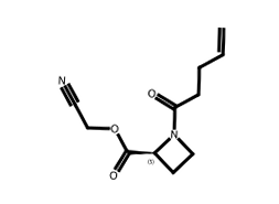 C=CCCC(=O)N1CC[C@H]1C(=O)OCC#N